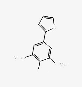 COc1cc(-c2cccs2)cc(OC)c1C=O